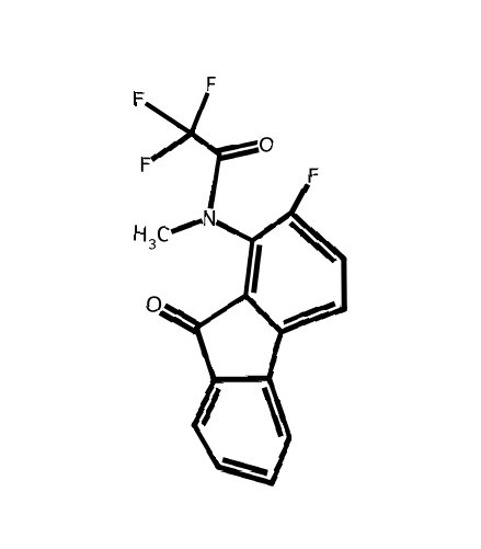 CN(C(=O)C(F)(F)F)c1c(F)ccc2c1C(=O)c1ccccc1-2